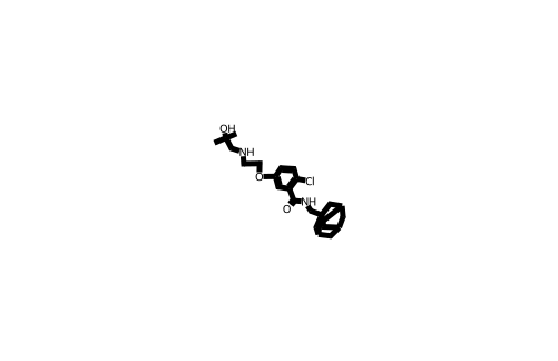 CC(C)(O)CNCCOc1ccc(Cl)c(C(=O)NCC23CC4CC(CC(C4)C2)C3)c1